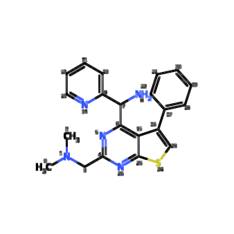 CN(C)Cc1nc(C(N)c2ccccn2)c2c(-c3ccccc3)csc2n1